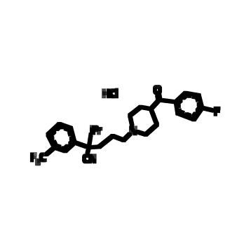 CC(C)C(C#N)(CCCN1CCC(C(=O)c2ccc(F)cc2)CC1)c1cccc(C(F)(F)F)c1.Cl